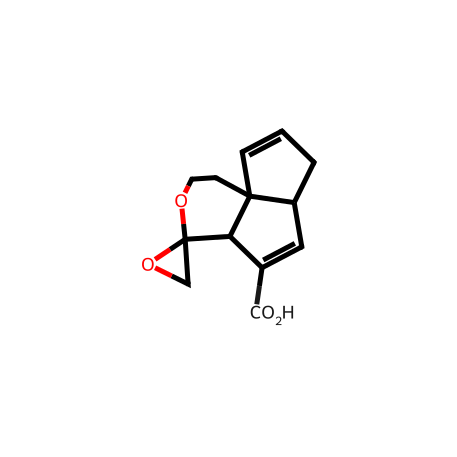 O=C(O)C1=CC2CC=CC23CCOC2(CO2)C13